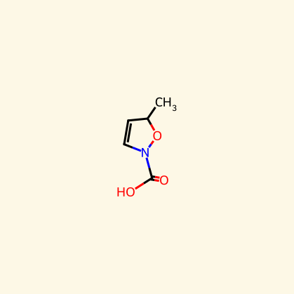 CC1C=CN(C(=O)O)O1